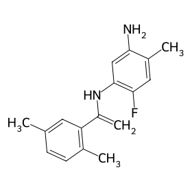 C=C(Nc1cc(N)c(C)cc1F)c1cc(C)ccc1C